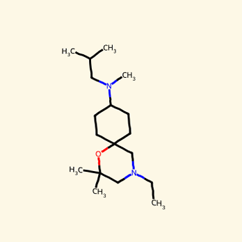 CCN1CC(C)(C)OC2(CCC(N(C)CC(C)C)CC2)C1